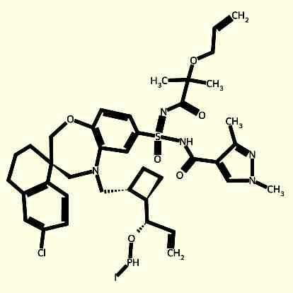 C=CCOC(C)(C)C(=O)N=S(=O)(NC(=O)c1cn(C)nc1C)c1ccc2c(c1)N(C[C@@H]1CC[C@H]1[C@H](C=C)OPI)C[C@@]1(CCCc3cc(Cl)ccc31)CO2